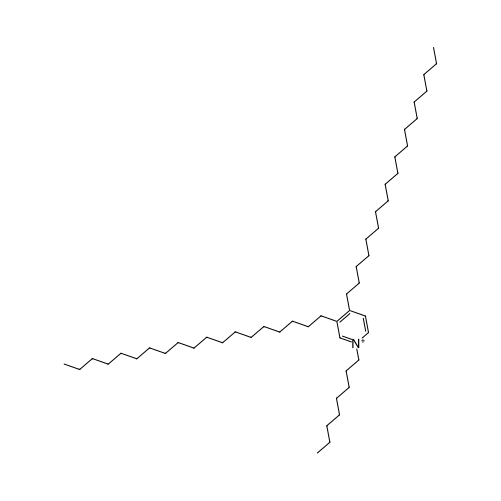 CCCCCCCCCCCCCCCCCCCc1cc[n+](CCCCCCCC)cc1CCCCCCCCCCCCCCCCCCC